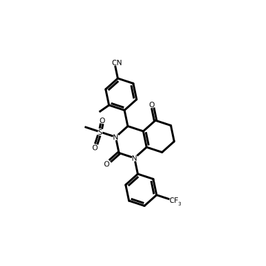 Cc1cc(C#N)ccc1C1C2=C(CCCC2=O)N(c2cccc(C(F)(F)F)c2)C(=O)N1S(C)(=O)=O